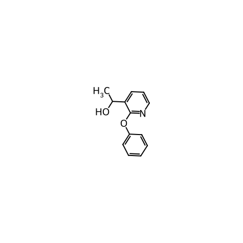 CC(O)c1cccnc1Oc1ccccc1